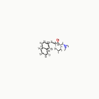 CN(C)CC1CCCC(=Cc2ccc3ccccc3c2)C1=O